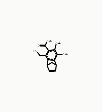 COC(=O)c1c(CO)c2c(c(OC)c1OC)C1C=CC2C1